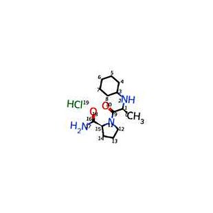 C[C@H](NC1CCCCC1)C(=O)N1CCC[C@H]1C(N)=O.Cl